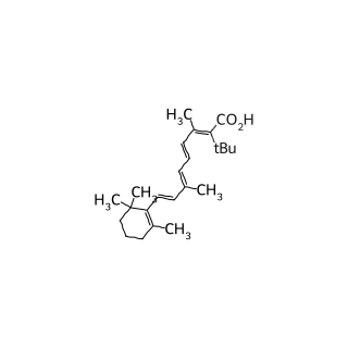 CC(C=CC1=C(C)CCCC1(C)C)=CC=CC(C)=C(C(=O)O)C(C)(C)C